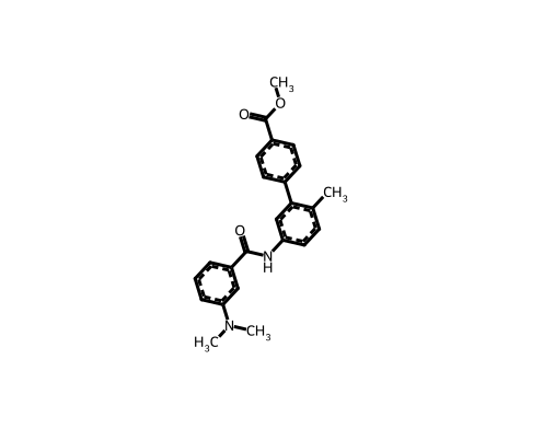 COC(=O)c1ccc(-c2cc(NC(=O)c3cccc(N(C)C)c3)ccc2C)cc1